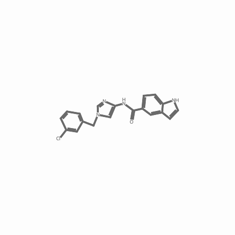 O=C(Nc1cn(Cc2cccc(Cl)c2)cn1)c1ccc2[nH]ccc2c1